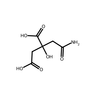 NC(=O)CC(O)(CC(=O)O)C(=O)O